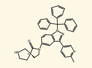 Cc1ccc(-c2nn(C(c3ccccc3)(c3ccccc3)c3ccccc3)c3ccc(N4CC[C@]5(CCNC5)C4=O)cc23)cn1